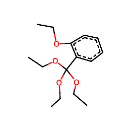 CCOc1ccccc1C(OCC)(OCC)OCC